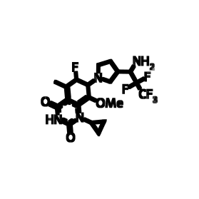 COC1=c2c(c(=O)[nH]c(=O)n2C2CC2)=C(C)C(F)C1N1CCC(C(N)C(F)(F)C(F)(F)F)C1